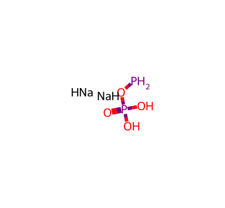 O=P(O)(O)OP.[NaH].[NaH]